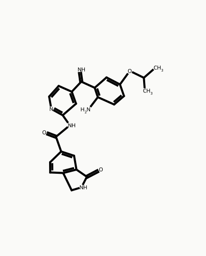 CC(C)Oc1ccc(N)c(C(=N)c2ccnc(NC(=O)c3ccc4c(c3)C(=O)NC4)c2)c1